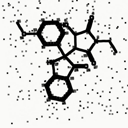 CCN1C(=O)C(O)C(C2(c3cccc(OC)c3)Nc3ccccc3C2=O)C1=O